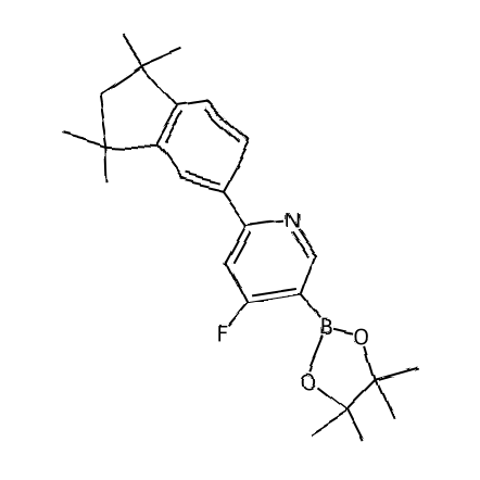 CC1(C)CC(C)(C)c2cc(-c3cc(F)c(B4OC(C)(C)C(C)(C)O4)cn3)ccc21